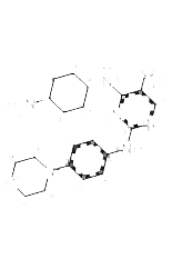 N[C@H]1CC[C@H](Nc2nc(Nc3ccc(N4CCOCC4)cc3)ncc2C(F)(F)F)CC1